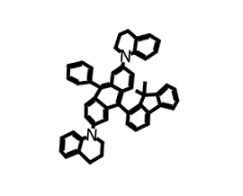 CC1(C)c2ccccc2-c2cccc(-c3c4ccc(N5CCCc6ccccc65)cc4c(-c4ccccc4)c4ccc(N5CCCc6ccccc65)cc34)c21